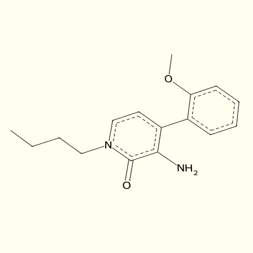 CCCCn1ccc(-c2ccccc2OC)c(N)c1=O